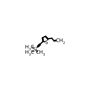 C=CCc1ccc(C#C[Si](C)(C)C)s1